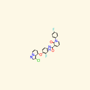 O=C(Nc1ccc(Oc2cccn3ncc(Cl)c23)c(F)c1)c1cccn(-c2ccc(F)cc2)c1=O